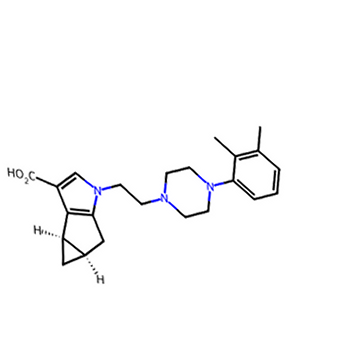 Cc1cccc(N2CCN(CCn3cc(C(=O)O)c4c3C[C@H]3C[C@@H]43)CC2)c1C